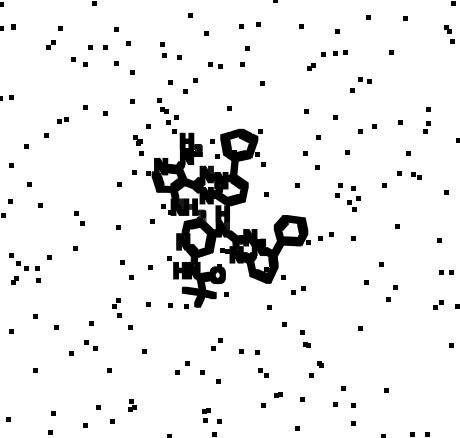 CC(C)(C)C(=O)Nc1cc(Nc2nc3cccc(-c4ccccc4)n3n2)ccn1.Nc1ccnc(N)c1-c1nc2cccc(-c3ccccc3)n2n1